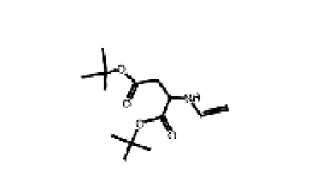 C=CNC(CC(=O)OC(C)(C)C)C(=O)OC(C)(C)C